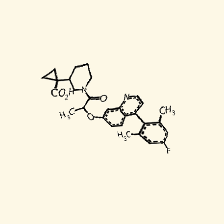 Cc1cc(F)cc(C)c1-c1ccnc2cc(OC(C)C(=O)N3CCCC(C4(C(=O)O)CC4)C3)ccc12